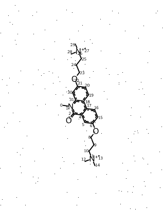 Cn1c(=O)c2cc(OCCC[N+](C)(C)C)ccc2c2ccc(OCCC[N+](C)(C)C)cc21